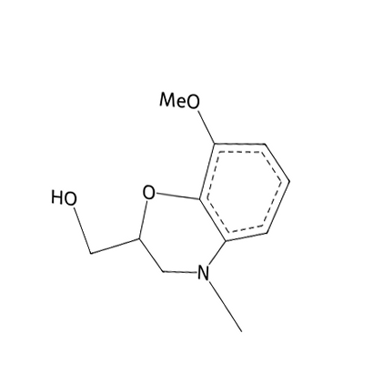 COc1cccc2c1OC(CO)CN2C